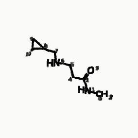 CNC(=O)CCNCC1CC1